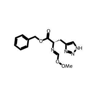 COO/C=N/[C@@H](Cc1c[nH]nn1)C(=O)OCc1ccccc1